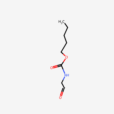 CCCCCOC(=O)NC[C]=O